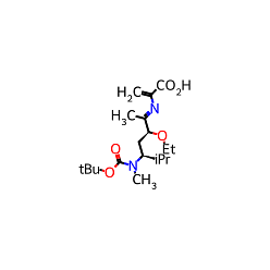 C=C(/N=C(\C)[C@H](C[C@@H](C(C)C)N(C)C(=O)OC(C)(C)C)OCC)C(=O)O